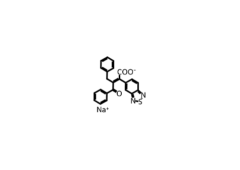 O=C([O-])C(=C(Cc1ccccc1)C(=O)c1ccccc1)c1ccc2nsnc2c1.[Na+]